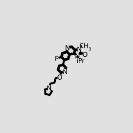 CC(C)n1c(=O)n(C)c2cnc3cc(F)c(-c4ccc(OCCCN5CCCC5)nc4)cc3c21